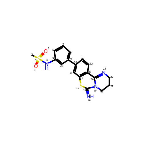 CS(=O)(=O)Nc1cccc(-c2ccc3c(c2)SC(=N)N2CCCN=C32)c1